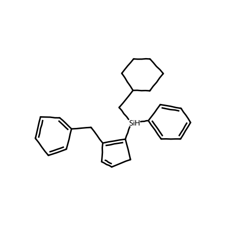 C1=CC(Cc2ccccc2)=C([SiH](CC2CCCCC2)c2ccccc2)C1